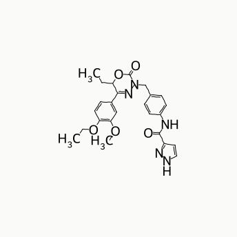 CCOc1ccc(C2=NN(Cc3ccc(NC(=O)c4cc[nH]n4)cc3)C(=O)OC2CC)cc1OC